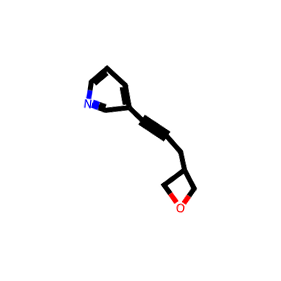 C(#Cc1cccnc1)CC1COC1